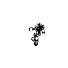 COc1ccc(C(=O)/C=C/C(=O)N[C@H]2C[C@H](NC(=O)C[C@@H]3N=C(c4ccc(Cl)cc4)c4c(sc(C)c4C)-n4c(C)nnc43)C2)cc1